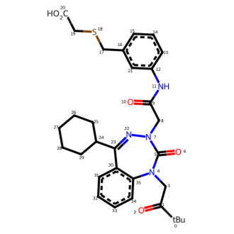 CC(C)(C)C(=O)CN1C(=O)N(CC(=O)Nc2cccc(CSCC(=O)O)c2)N=C(C2CCCCC2)c2ccccc21